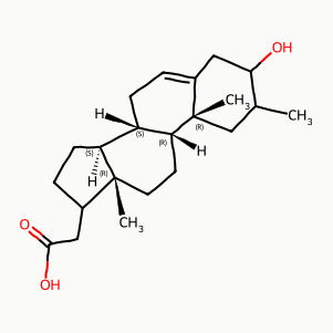 CC1C[C@@]2(C)C(=CC[C@@H]3[C@H]2CC[C@]2(C)C(CC(=O)O)CC[C@@H]32)CC1O